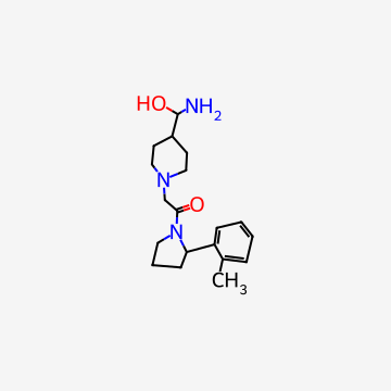 Cc1ccccc1C1CCCN1C(=O)CN1CCC(C(N)O)CC1